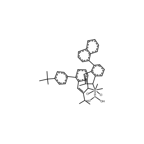 CC1=Cc2c(-c3cccc4ccccc34)cccc2[CH]1[Zr]([CH3])([CH3])([Cl])([Cl])([CH]1C(C(C)C)=Cc2c(-c3ccc(C(C)(C)C)cc3)cccc21)[SiH](O)O